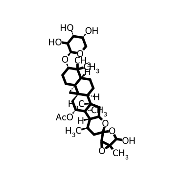 CC(=O)O[C@@H]1C[C@@]23C[C@@]24CC[C@H](O[C@@H]2OC[C@@H](O)[C@@H](O)C2O)C(C)(C)[C@@H]4CC[C@H]3[C@]2(C)CC3OC4(C[C@@H](C)[C@@H]3[C@@]12C)OC(O)C1(C)OC41